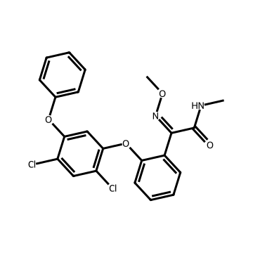 CNC(=O)C(=NOC)c1ccccc1Oc1cc(Oc2ccccc2)c(Cl)cc1Cl